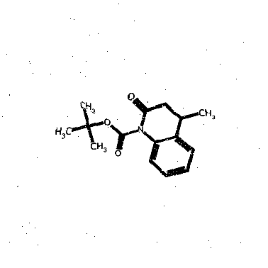 CC1CC(=O)N(C(=O)OC(C)(C)C)c2ccccc21